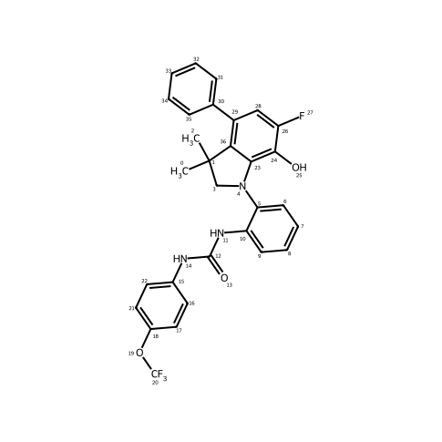 CC1(C)CN(c2ccccc2NC(=O)Nc2ccc(OC(F)(F)F)cc2)c2c(O)c(F)cc(-c3ccccc3)c21